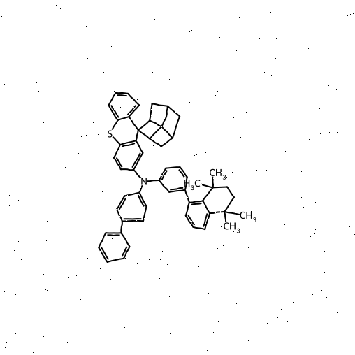 CC1(C)CCC(C)(C)c2c(-c3cccc(N(c4ccc(-c5ccccc5)cc4)c4ccc5c(c4)C4(c6ccccc6S5)C5CC6CC7CC4C75C6)c3)cccc21